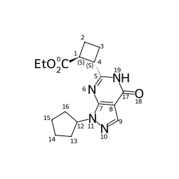 CCOC(=O)[C@H]1CC[C@@H]1c1nc2c(cnn2C2CCCC2)c(=O)[nH]1